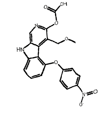 COCc1c(OC(=O)O)ncc2[nH]c3cccc(Oc4ccc([N+](=O)[O-])cc4)c3c12